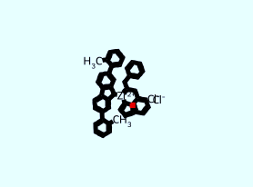 Cc1ccccc1-c1ccc2c(c1)[CH]([Zr+2]([C]1=CC=CC1)=[C](Cc1ccccc1)Cc1ccccc1)c1cc(-c3ccccc3C)ccc1-2.[Cl-].[Cl-]